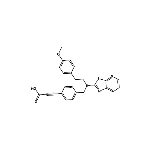 COc1ccc(CCN(Cc2ccc(C#CC(=O)O)cc2)c2nc3cccnc3s2)cc1